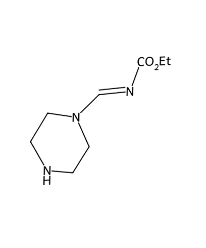 CCOC(=O)/N=C/N1CCNCC1